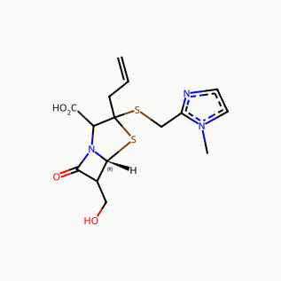 C=CCC1(SCc2nccn2C)S[C@@H]2C(CO)C(=O)N2C1C(=O)O